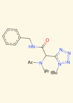 CC(=O)N(C(C)C)C(C(=O)NCc1ccccc1)c1nnnn1C(C)(C)C